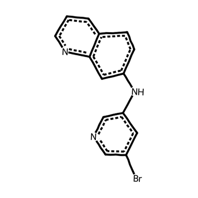 Brc1cncc(Nc2ccc3cccnc3c2)c1